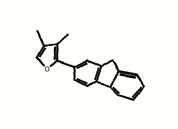 Cc1coc(-c2[c]c3c(cc2)-c2ccccc2C3)c1C